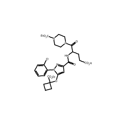 CCOC(=O)N1CCN(C(=O)C(CCC(=O)O)NC(=O)c2cc(OC3(C(=O)OCC)CCC3)n(-c3ccccc3Cl)n2)CC1